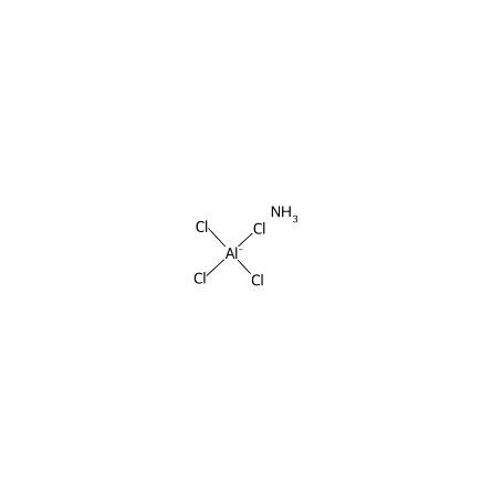 N.[Cl][Al-]([Cl])([Cl])[Cl]